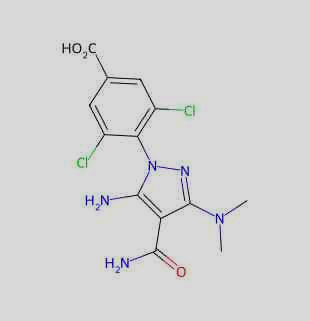 CN(C)c1nn(-c2c(Cl)cc(C(=O)O)cc2Cl)c(N)c1C(N)=O